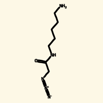 [N-]=[N+]=NCC(=O)NCCCCCN